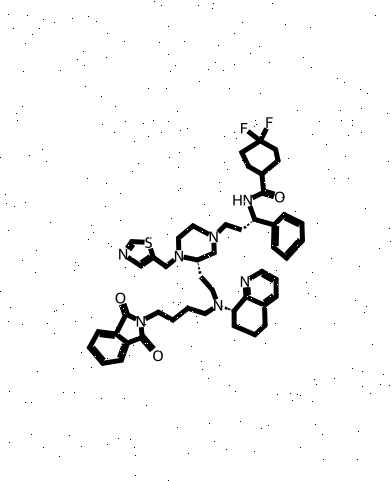 O=C(N[C@@H](CCN1CCN(Cc2cncs2)[C@@H](CCN(CCCCN2C(=O)c3ccccc3C2=O)[C@H]2CCCc3cccnc32)C1)c1ccccc1)C1CCC(F)(F)CC1